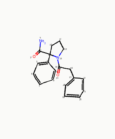 NC(=O)C1(c2ccccc2)CCCN1C(=O)Cc1ccccc1